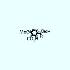 COc1ccc(C(=O)OO)c(C(=O)O)c1